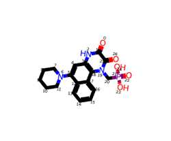 O=c1[nH]c2cc(N3CCCCC3)c3ccccc3c2n(CP(=O)(O)O)c1=O